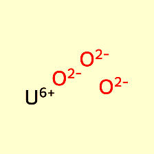 [O-2].[O-2].[O-2].[U+6]